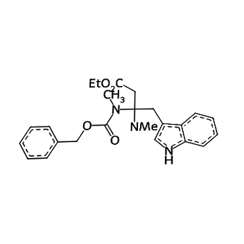 CCOC(=O)CC(Cc1c[nH]c2ccccc12)(NC)N(C)C(=O)OCc1ccccc1